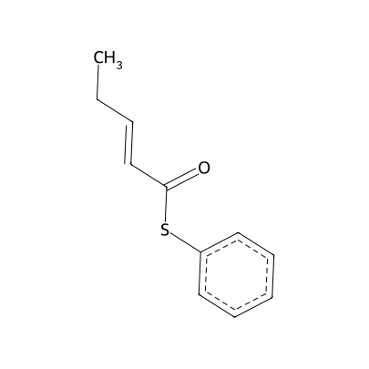 CC/C=C/C(=O)Sc1ccccc1